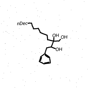 CCCCCCCCCCCCCCCCC(O)(CO)C(O)Cc1ccccc1